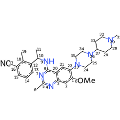 COc1cc2nc(C)nc(NC(C)c3cccc(C#N)c3C)c2cc1N1CCN(C2CCN(C)CC2)CC1